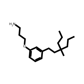 CCCC(C)(CCC)CCc1cccc(OCCCN)c1